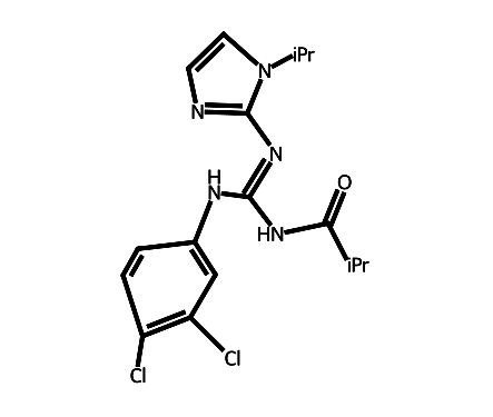 CC(C)C(=O)N/C(=N/c1nccn1C(C)C)Nc1ccc(Cl)c(Cl)c1